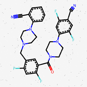 N#Cc1cc(F)c(N2CCN(C(=O)c3cc(CN4CCN(c5ccccc5C#N)CC4)c(F)cc3F)CC2)cc1F